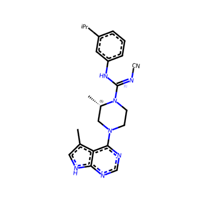 Cc1c[nH]c2ncnc(N3CCN(/C(=N/C#N)Nc4cccc(C(C)C)c4)[C@@H](C)C3)c12